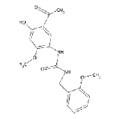 COc1ccccc1CNC(=O)Nc1cc(C(C)=O)c(O)cc1OC